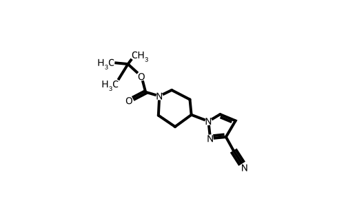 CC(C)(C)OC(=O)N1CCC(n2ccc(C#N)n2)CC1